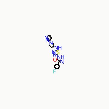 CN(C)[C@@H](C(=O)Nc1nnc(N[C@@H]2CCN(c3cccnn3)C2)s1)c1ccc(F)cc1